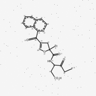 CCC1(C(=O)NC(CC(=O)O)C(=O)CF)CC(C(=O)c2nccc3ccccc23)=NO1